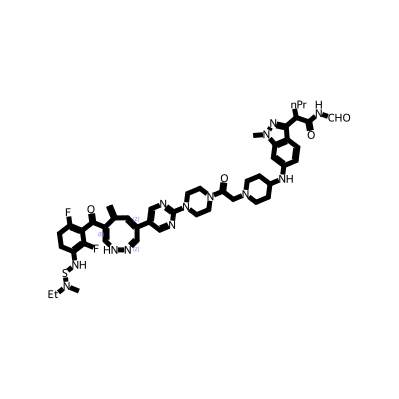 C=C1/C=C(c2cnc(N3CCN(C(=O)CN4CCC(Nc5ccc6c(C(CCC)C(=O)NC=O)nn(C)c6c5)CC4)CC3)nc2)\C=N/N/C=C\1C(=O)C1=C(F)CCC(NSN(C)CC)=C1F